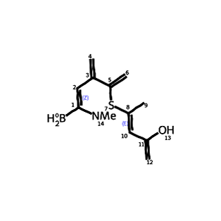 B/C(=C/C(=C)C(=C)S/C(C)=C/C(=C)O)NC